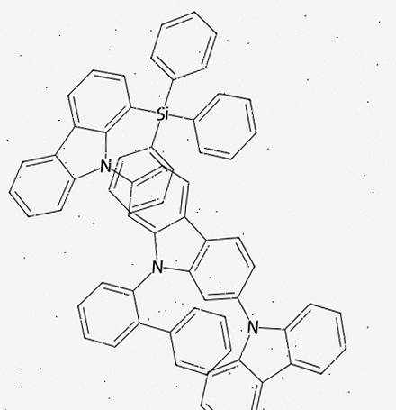 c1ccc(-c2ccccc2-n2c3cc(-n4c5ccccc5c5ccccc54)ccc3c3ccc(-n4c5ccccc5c5cccc([Si](c6ccccc6)(c6ccccc6)c6ccccc6)c54)cc32)cc1